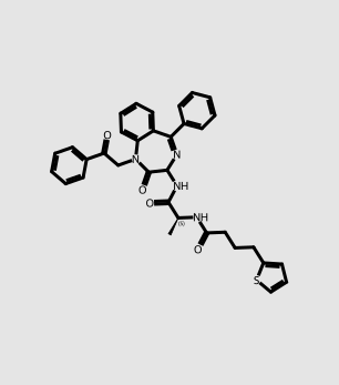 C[C@H](NC(=O)CCCc1cccs1)C(=O)NC1N=C(c2ccccc2)c2ccccc2N(CC(=O)c2ccccc2)C1=O